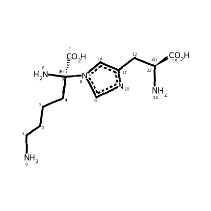 NCCCC[C@](N)(C(=O)O)n1cnc(C[C@H](N)C(=O)O)c1